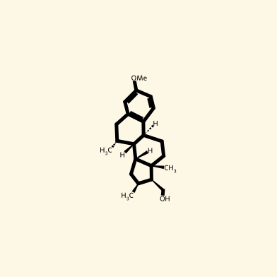 COc1ccc2c(c1)C[C@@H](C)[C@@H]1[C@@H]2CC[C@@]2(C)[C@@H]1C[C@H](C)[C@@H]2CO